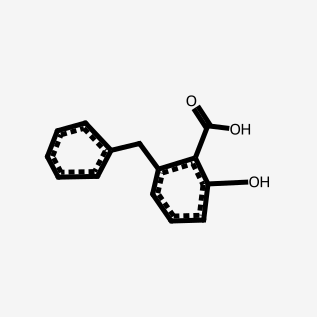 O=C(O)c1c(O)cccc1Cc1ccccc1